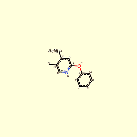 CC(=O)Nc1cc(Oc2ccccc2)ncc1C